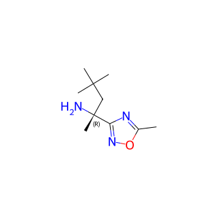 Cc1nc([C@](C)(N)CC(C)(C)C)no1